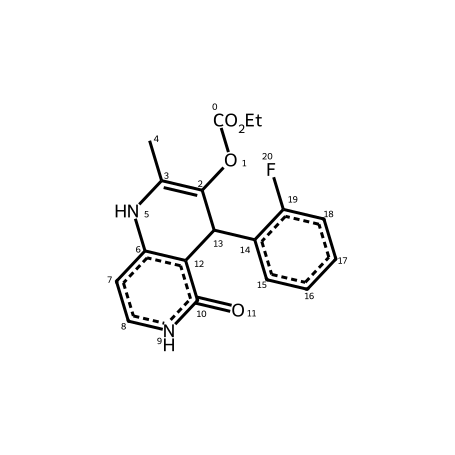 CCOC(=O)OC1=C(C)Nc2cc[nH]c(=O)c2C1c1ccccc1F